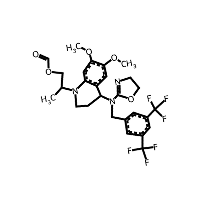 COc1cc2c(cc1OC)N(C(C)COC=O)CCC2N(Cc1cc(C(F)(F)F)cc(C(F)(F)F)c1)C1=NCCO1